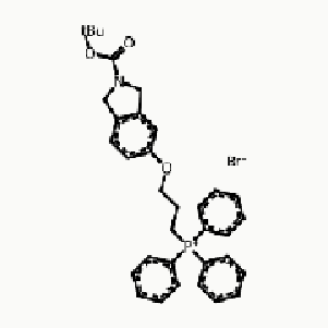 CC(C)(C)OC(=O)N1Cc2ccc(OCCC[P+](c3ccccc3)(c3ccccc3)c3ccccc3)cc2C1.[Br-]